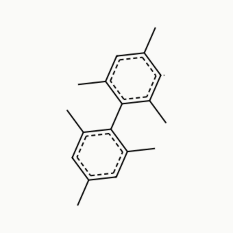 Cc1[c]c(C)c(-c2c(C)cc(C)cc2C)c(C)c1